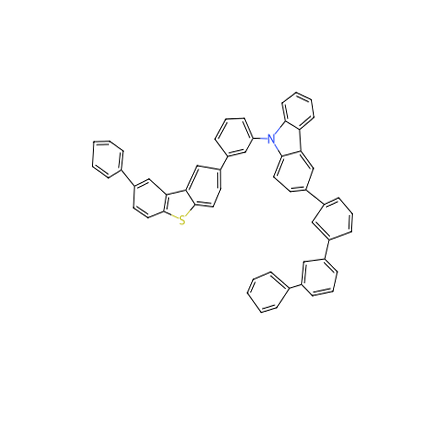 c1ccc(-c2cccc(-c3cccc(-c4ccc5c(c4)c4ccccc4n5-c4cccc(-c5ccc6sc7ccc(-c8ccccc8)cc7c6c5)c4)c3)c2)cc1